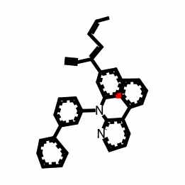 C#C/C(=C\C=C/C)c1cccc(N(c2cccc(-c3ccccc3)c2)c2ncccc2-c2ccccc2)c1